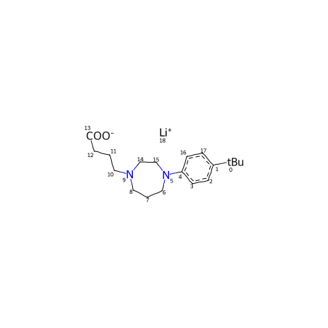 CC(C)(C)c1ccc(N2CCCN(CCCC(=O)[O-])CC2)cc1.[Li+]